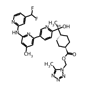 Cc1cc(Nc2cc(C(F)F)ccn2)nc(-c2ccc([C@](C)(O)[C@H]3CC[C@H](C(=O)OCn4nnnc4C)CC3)nc2)c1